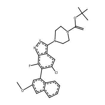 C=C(OC(C)(C)C)N1CCN(c2snc3c(F)c(-c4cc(OC)cc5ccccc45)c(Cl)cc23)CC1